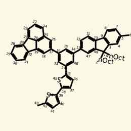 CCCCCCCCC1(CCCCCCCC)c2cc(C)ccc2-c2ccc(-c3cc(-c4cc5c6c(cccc6c4)-c4ccccc4-5)cc(-c4ccc(-c5ccc(C)s5)s4)c3)cc21